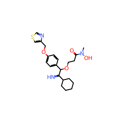 CN(O)C(=O)CCOC(C(=N)C1CCCCC1)c1ccc(OCc2cscn2)cc1